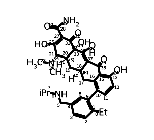 CCc1ccc(CNC(C)C)cc1-c1ccc(O)c2c1C[C@H]1C[C@H]3[C@H](N(C)C)C(O)=C(C(N)=O)C(=O)[C@@]3(O)C(O)=C1C2=O